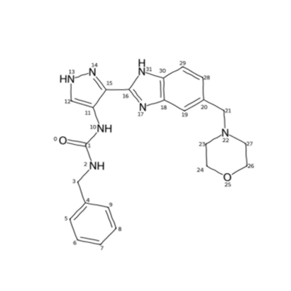 O=C(NCc1ccccc1)Nc1c[nH]nc1-c1nc2cc(CN3CCOCC3)ccc2[nH]1